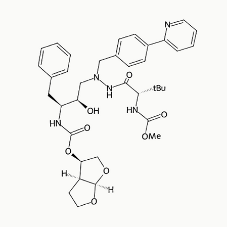 COC(=O)N[C@H](C(=O)NN(Cc1ccc(-c2ccccn2)cc1)C[C@@H](O)[C@H](Cc1ccccc1)NC(=O)O[C@H]1CO[C@H]2OCC[C@H]21)C(C)(C)C